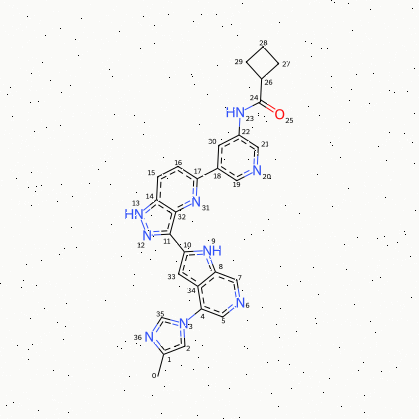 Cc1cn(-c2cncc3[nH]c(-c4n[nH]c5ccc(-c6cncc(NC(=O)C7CCC7)c6)nc45)cc23)cn1